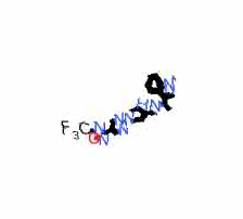 CC(NCC1CCN(c2ncc(-c3noc(C(F)(F)F)n3)cn2)CC1)c1cn(C)c2ccccc12